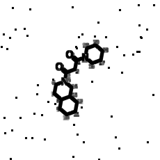 O=C(CC(=O)N1CCC2CCCCC2C1)N1CCCCC1